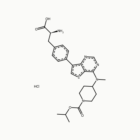 CC(C)OC(=O)N1CCC(N(C)c2ncnc3c(-c4ccc(C[C@H](N)C(=O)O)cc4)csc23)CC1.Cl